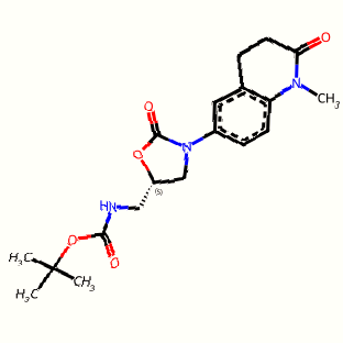 CN1C(=O)CCc2cc(N3C[C@H](CNC(=O)OC(C)(C)C)OC3=O)ccc21